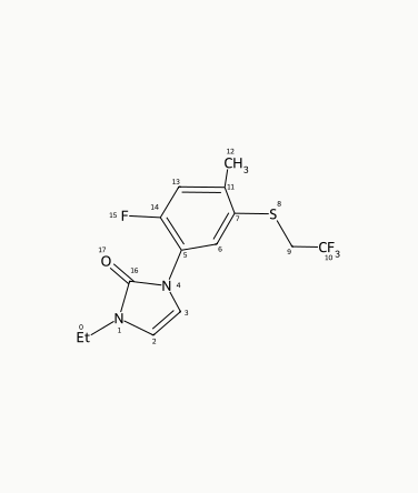 CCn1ccn(-c2cc(SCC(F)(F)F)c(C)cc2F)c1=O